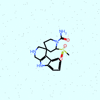 CS(=O)(=O)C1CC2(CCN1C(N)=O)CNCc1[nH]c3ccccc3c12